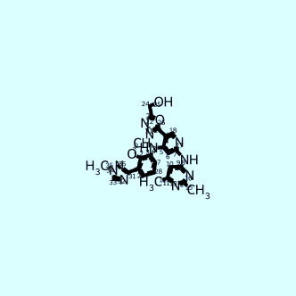 COc1c(Nc2cc(Nc3cc(C)nc(C)n3)ncc2-c2nnc(CO)o2)cccc1-c1ncn(C)n1